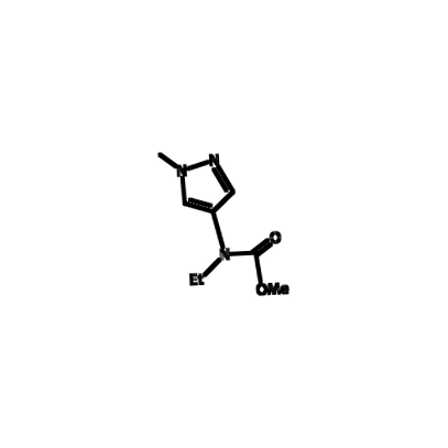 CCN(C(=O)OC)c1cnn(C)c1